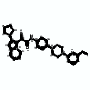 CCc1cccc(N2CCN(c3ccc(NC(=O)C(=O)c4c(C5CCCC5)cc5ccccn45)cc3)CC2)n1